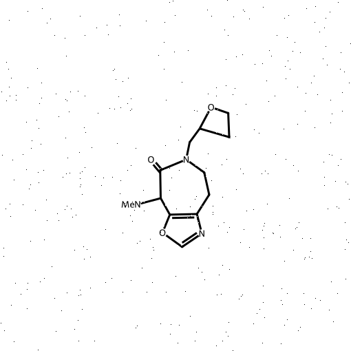 CNC1C(=O)N(CC2CCO2)CCc2ncoc21